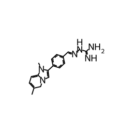 CC1=CC=C2N(C=C(c3ccc(C=NNC(=N)N)cc3)N2C)C1